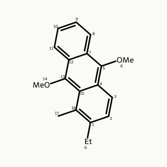 CCc1ccc2c(OC)c3ccccc3c(OC)c2c1C